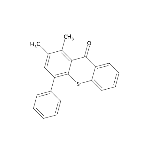 Cc1cc(-c2ccccc2)c2sc3ccccc3c(=O)c2c1C